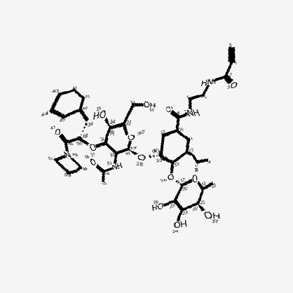 C#CC(=O)NCCNC(=O)C1CC(CC)C(O[C@@H]2OC(C)[C@@H](O)C(O)C2O)[C@H](O[C@@H]2OC(CO)[C@H](O)C(O[C@@H](CC3CCCCC3)C(=O)N3CCC3)C2NC(C)=O)C1